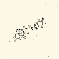 Cc1ccc(C(F)(F)F)c(C(=O)N2CC[C@H](CNc3nc4ccc(F)cc4s3)C2)c1